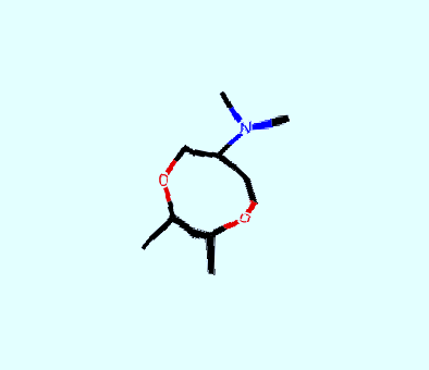 CC1OCC(N(C)C)COC1C